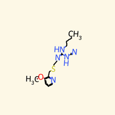 CCCCN/C(=N/CCSCc1ncccc1OC)NC#N